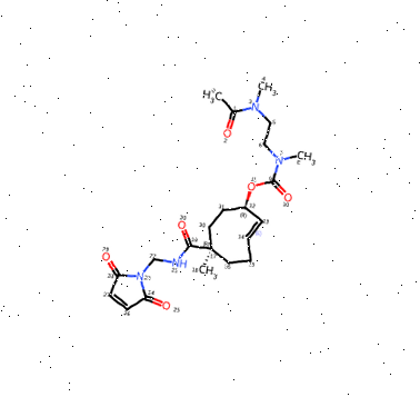 CC(=O)N(C)CCN(C)C(=O)O[C@H]1/C=C/CC[C@@](C)(C(=O)NCN2C(=O)C=CC2=O)CC1